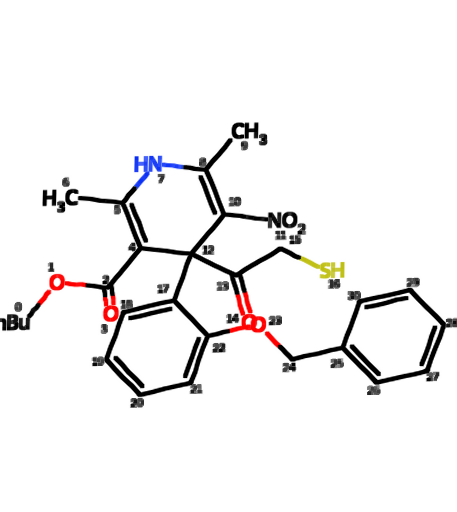 CCCCOC(=O)C1=C(C)NC(C)=C([N+](=O)[O-])C1(C(=O)CS)c1ccccc1OCc1ccccc1